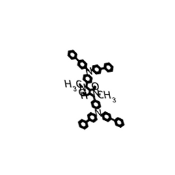 CN/C(=C1/C(=O)N(C)C(c2ccc(N(c3ccc(-c4ccccc4)cc3)c3ccc(-c4ccccc4)cc3)cc2)=C1C=O)c1ccc(N(c2ccc(-c3ccccc3)cc2)c2ccc(-c3ccccc3)cc2)cc1